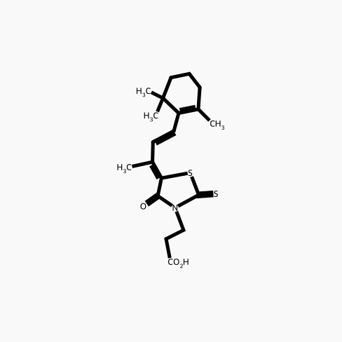 CC(C=CC1=C(C)CCCC1(C)C)=C1SC(=S)N(CCC(=O)O)C1=O